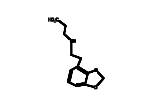 O=C(O)CCNCCc1cccc2c1OCO2